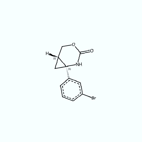 O=C1N[C@@]2(c3cccc(Br)c3)C[C@@H]2CO1